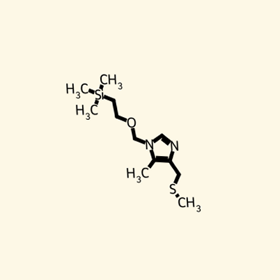 CSCc1ncn(COCC[Si](C)(C)C)c1C